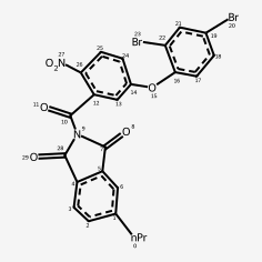 CCCc1ccc2c(c1)C(=O)N(C(=O)c1cc(Oc3ccc(Br)cc3Br)ccc1[N+](=O)[O-])C2=O